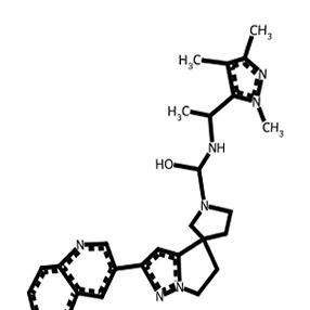 Cc1nn(C)c(C(C)NC(O)N2CCC3(CCn4nc(-c5cnc6ccccc6c5)cc43)C2)c1C